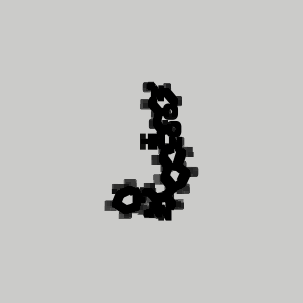 CN1CCOC(CC(=O)Nc2cc3cc(-c4cnn(C)c4CN4CCCCC4)ccc3cn2)C1